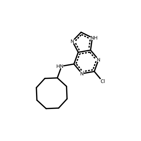 Clc1nc(NC2CCCCCCC2)c2nc[nH]c2n1